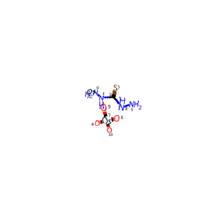 NNC(=S)NN.[O]=[Os](=[O])(=[O])=[O].[Os]